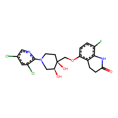 O=C1CCc2c(OC[C@@]3(O)CCN(c4ncc(Cl)cc4Cl)C[C@@H]3O)ccc(F)c2N1